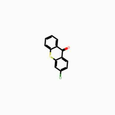 O=c1c2ccccc2sc2cc(Cl)ccc12